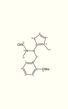 COc1ccccc1CC(c1sccc1C)N(C)C=O